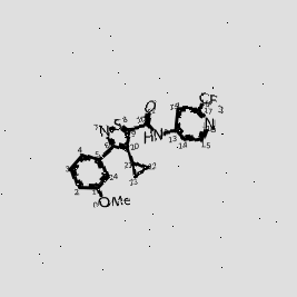 COc1cccc(-c2nsc(C(=O)Nc3ccnc(C(F)(F)F)c3)c2C2CC2)c1